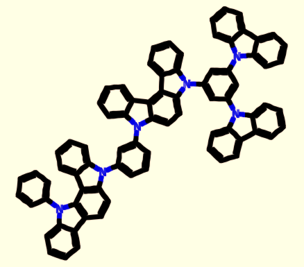 c1ccc(-n2c3ccccc3c3ccc4c(c5ccccc5n4-c4cccc(-n5c6ccccc6c6c7c8ccccc8n(-c8cc(-n9c%10ccccc%10c%10ccccc%109)cc(-n9c%10ccccc%10c%10ccccc%109)c8)c7ccc65)c4)c32)cc1